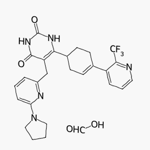 O=CO.O=c1[nH]c(C2CC=C(c3cccnc3C(F)(F)F)CC2)c(Cc2cccc(N3CCCC3)n2)c(=O)[nH]1